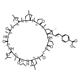 CC[C@@H]1NC(=O)C(C[C@H](C)C/C=C/c2ccc(C(=O)OC)cc2)N(C)C(=O)[C@H](CC)N(C)C(=O)[C@H](CC(C)C)N(C)C(=O)[C@@H](CC(C)C)N(C)C(=O)[C@H](C)NC(=O)[C@@H](C)NC(=O)[C@@H](CC(C)C)N(C)C(=O)[C@@H](C(C)C)NC(=O)[C@H](CC(C)C)N(C)C(=O)CN(C)C1=O